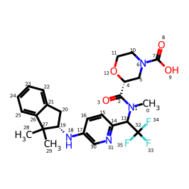 CN(C(=O)[C@H]1CN(C(=O)O)CCO1)C(c1ccc(N[C@H]2Cc3ccccc3C2(C)C)cn1)C(F)(F)F